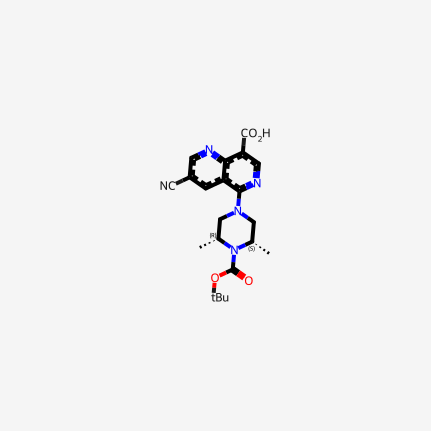 C[C@@H]1CN(c2ncc(C(=O)O)c3ncc(C#N)cc23)C[C@H](C)N1C(=O)OC(C)(C)C